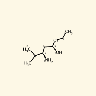 CCO[C@@H](O)C[C@@H](N)C(C)C